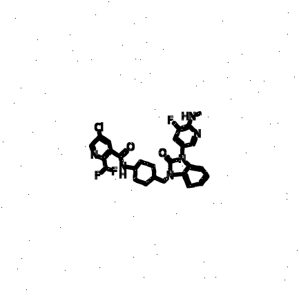 CNc1ncc(-n2c(=O)n(CC3CCC(NC(=O)c4cc(Cl)cnc4C(F)F)CC3)c3ccccc32)cc1F